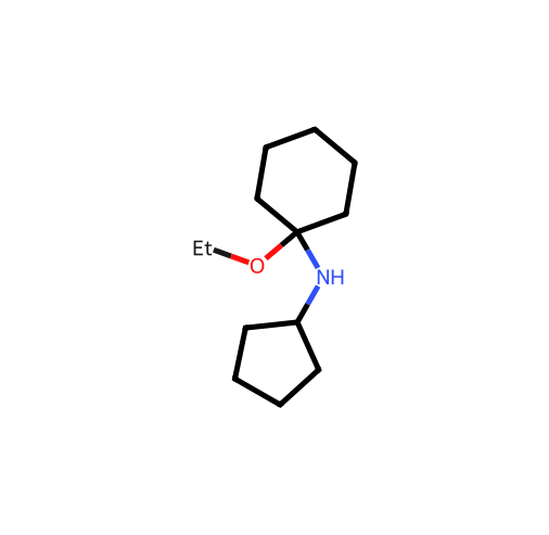 CCOC1(NC2CCCC2)CCCCC1